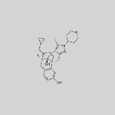 Cc1c2c(nn1C1CCSCC1)C[C@]13CCN(CC4CC4)[C@H](Cc4ccc(O)cc41)[C@]3(O)C2